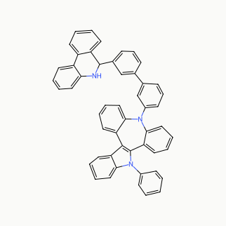 c1ccc(-n2c3c(c4ccccc42)-c2ccccc2N(c2cccc(-c4cccc(C5Nc6ccccc6-c6ccccc65)c4)c2)c2ccccc2-3)cc1